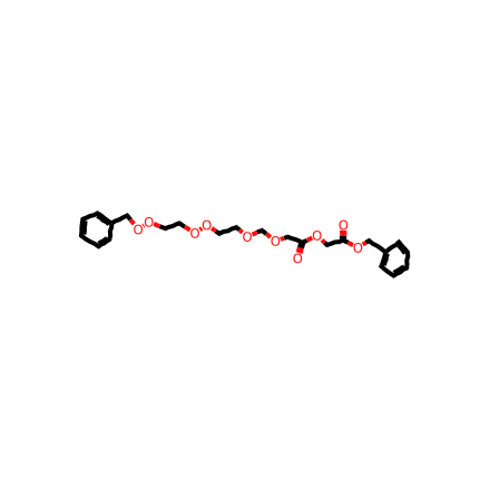 O=C(COCOCCOOCCOOCc1ccccc1)OCC(=O)OCc1ccccc1